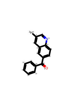 [2H]c1cnc2ccc(C(=O)c3ccccc3)cc2c1